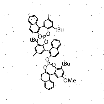 COc1cc(C(C)(C)C)c2op(Oc3ccc4ccccc4c3-c3cc(C)cc(C(C)(C)C)c3Op3oc4ccc5ccccc5c4c4cc(C)cc(C(C)(C)C)c4o3)oc3ccc4ccccc4c3c2c1